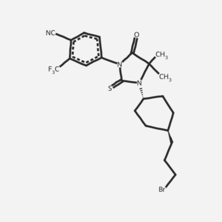 CC1(C)C(=O)N(c2ccc(C#N)c(C(F)(F)F)c2)C(=S)N1[C@H]1CC[C@H](CCCBr)CC1